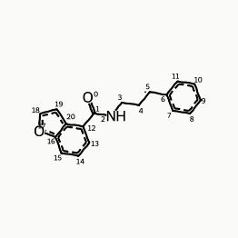 O=C(NCC[CH]c1ccccc1)c1cccc2occc12